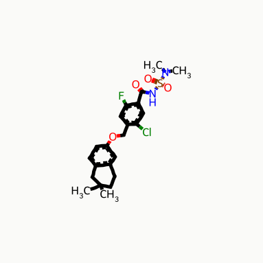 CN(C)S(=O)(=O)NC(=O)c1cc(Cl)c(COc2ccc3c(c2)CCC(C)(C)C3)cc1F